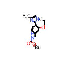 CC(C)(C)OC(=O)NCc1ccc2c(c1)OCCCn1cc(C(F)(F)F)nc1-2